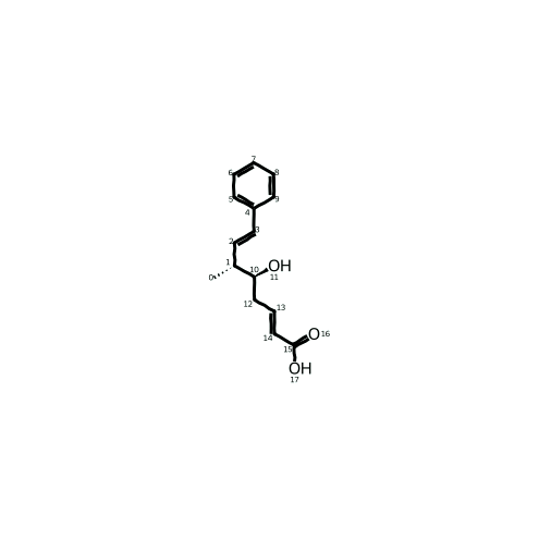 C[C@H](C=Cc1ccccc1)[C@@H](O)CC=CC(=O)O